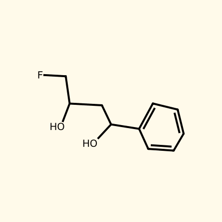 OC(CF)CC(O)c1ccccc1